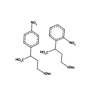 CCCCCCCCCCCCC(C(=O)O)c1ccc([N+](=O)[O-])cc1.CCCCCCCCCCCCC(C(=O)O)c1ccccc1[N+](=O)[O-]